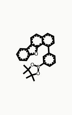 CC1(C)OB(c2cccc(-c3cccc4ccc5c6ccccc6oc5c34)c2)OC1(C)C